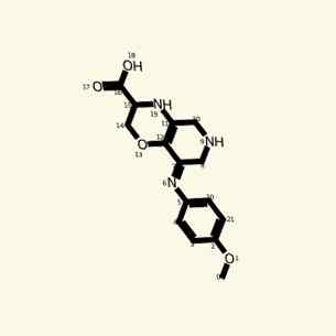 COc1ccc(/N=C2\CNCC3=C2OCC(C(=O)O)N3)cc1